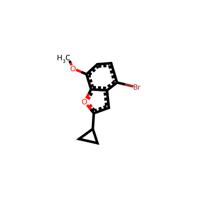 COc1ccc(Br)c2cc(C3CC3)oc12